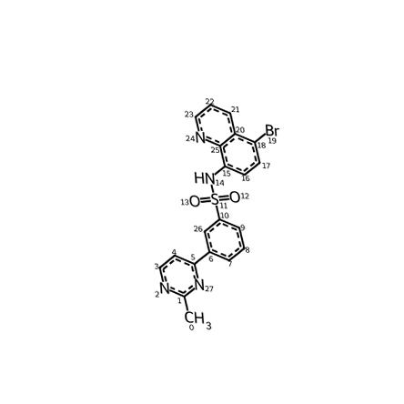 Cc1nccc(-c2cccc(S(=O)(=O)Nc3ccc(Br)c4cccnc34)c2)n1